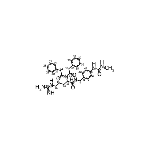 CNC(=O)Nc1ccc(CNC(=O)C(CCCNC(=N)N)N(C(=O)Cc2ccccc2)C(=O)Cc2ccccc2)cc1